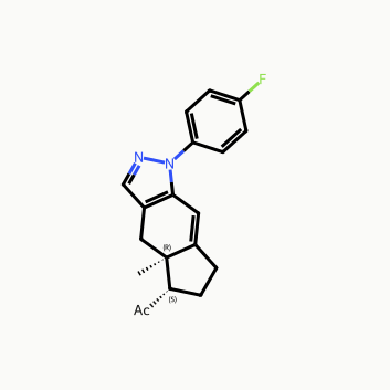 CC(=O)[C@H]1CCC2=Cc3c(cnn3-c3ccc(F)cc3)C[C@@]21C